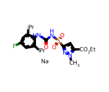 CCOC(=O)c1cc(S(=O)(=O)NC(=O)Nc2c(C(C)C)cc(F)cc2C(C)C)nn1C.[Na]